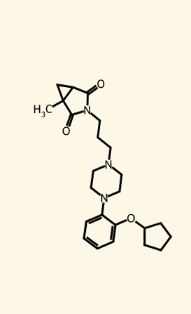 CC12CC1C(=O)N(CCCN1CCN(c3ccccc3OC3CCCC3)CC1)C2=O